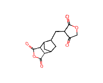 O=C1COC(=O)C1CC1CC2CC1C1C(=O)OC(=O)C21